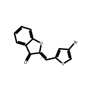 O=C1/C(=C/c2cc(Br)cs2)Oc2ccccc21